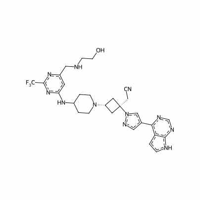 N#CC[C@]1(n2cc(-c3ncnc4[nH]ccc34)cn2)C[C@H](N2CCC(Nc3cc(CNCCO)nc(C(F)(F)F)n3)CC2)C1